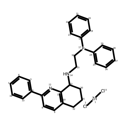 [Cl][Zn][Cl].c1ccc(-c2ccc3c(n2)C(NCCP(c2ccccc2)c2ccccc2)CCC3)cc1